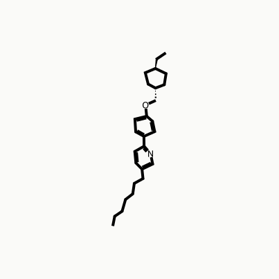 CCCCCCCc1ccc(-c2ccc(OC[C@H]3CC[C@H](CC)CC3)cc2)nc1